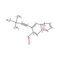 CC(C)(C)C#Cc1cc2c3ccc(o3)c2cc1C=O